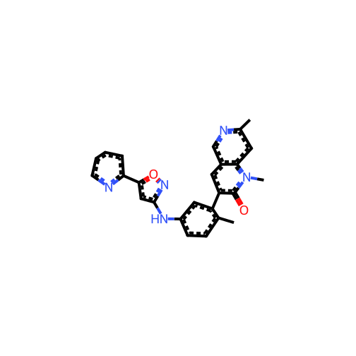 Cc1cc2c(cn1)cc(-c1cc(Nc3cc(-c4ccccn4)on3)ccc1C)c(=O)n2C